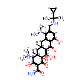 CN(C)c1c(CNC(C)(C)C2CC2)cc(O)c2c1C[C@H]1C[C@H]3[C@H](N(C)C)C(O)=C(C(N)=O)C(=O)[C@@]3(O)C(O)=C1C2=O